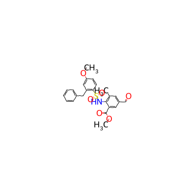 COC(=O)c1cc(C=O)cc(C)c1NS(=O)(=O)c1ccc(OC)cc1Cc1ccccc1